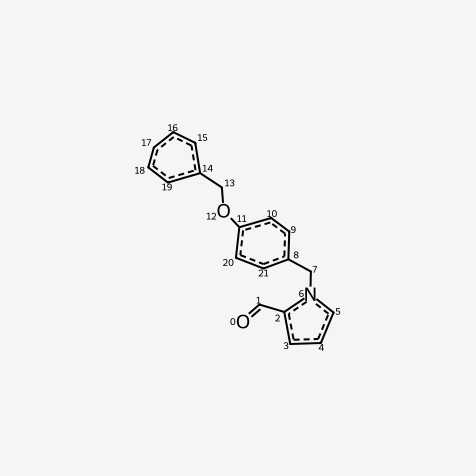 O=Cc1cccn1Cc1ccc(OCc2ccccc2)cc1